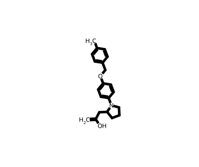 C=C(O)CC1CCCN1c1ccc(OCc2ccc(C)cc2)cc1